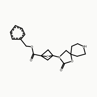 O=C1OC2(CCNCC2)CN1C12CC(C(=O)OCc3ccccc3)(C1)C2